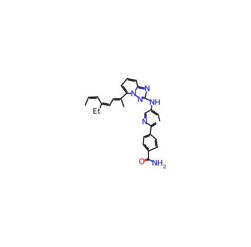 C=C(/N=C\C(=C/C)Nc1nc2cccc(/C(C)=C/C=C(\C=C/C)CC)n2n1)c1ccc(C(N)=O)cc1